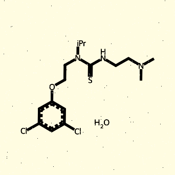 CC(C)N(CCOc1cc(Cl)cc(Cl)c1)C(=S)NCCN(C)C.O